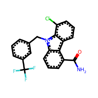 NC(=O)c1cccc2c1c1[c]ccc(Cl)c1n2Cc1cccc(C(F)(F)F)c1